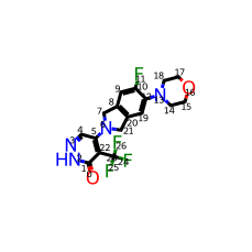 O=c1[nH]ncc(N2Cc3cc(F)c(N4CCOCC4)cc3C2)c1C(F)(F)F